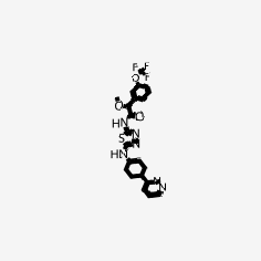 COC(C(=O)Nc1nnc(NC2CCC(c3cccnn3)CC2)s1)c1cccc(OC(F)(F)F)c1